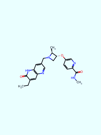 CCc1cc2ncc(CN3C[C@@H](Oc4ccc(C(=O)NC)nc4)[C@@H]3C)cc2[nH]c1=O